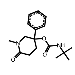 CN1CC(OC(=O)NC(C)(C)C)(c2ccccc2)CCC1=O